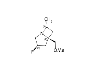 COC[C@@]12C[C@@H](F)CN1[C@H](C)C2